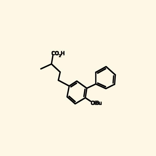 CC(C)COc1ccc(CCC(C)C(=O)O)cc1-c1ccccc1